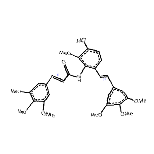 COc1cc(/C=C/C(=O)Nc2c(/C=C/c3cc(OC)c(OC)c(OC)c3)ccc(O)c2OC)cc(OC)c1OC